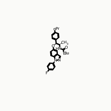 CCCc1ccc([C@H](Oc2ccc3c(cnn3-c3ccc(F)cc3)c2)[C@H](C)NC(=O)C(C)(C)C)cc1